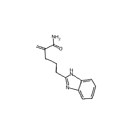 C=C(CCCc1nc2ccccc2[nH]1)C(N)=O